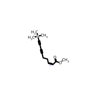 COC(=O)/C=C\CCC#CC#C[Si](C)(C)C